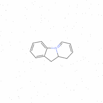 C1=CCC2Cc3ccccc3[N+]2=C1